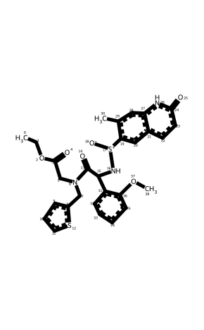 CCOC(=O)CN(Cc1cccs1)C(=O)C(N[S+]([O-])c1cc2ccc(=O)[nH]c2cc1C)c1ccccc1OC